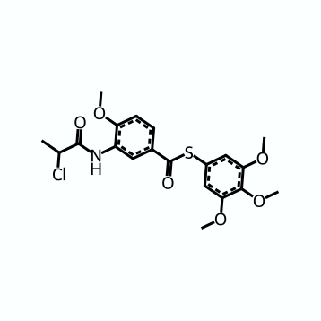 COc1ccc(C(=O)Sc2cc(OC)c(OC)c(OC)c2)cc1NC(=O)C(C)Cl